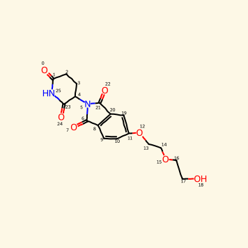 O=C1CCC(N2C(=O)c3ccc(OCCOCCO)cc3C2=O)C(=O)N1